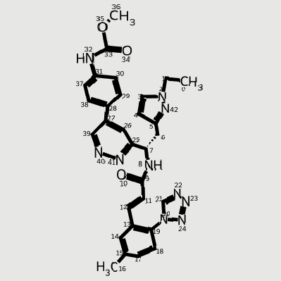 CCn1ccc(C[C@H](NC(=O)/C=C/c2cc(C)ccc2-n2cnnn2)c2cc(-c3ccc(NC(=O)OC)cc3)cnn2)n1